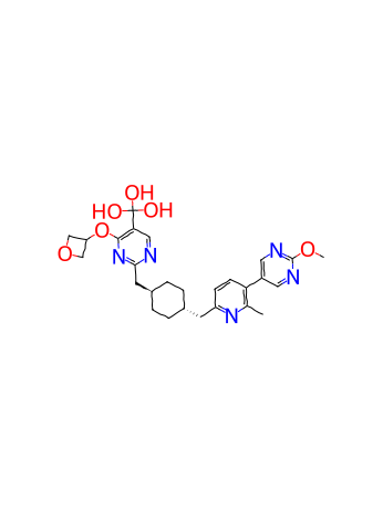 COc1ncc(-c2ccc(C[C@H]3CC[C@H](Cc4ncc(C(O)(O)O)c(OC5COC5)n4)CC3)nc2C)cn1